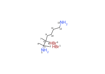 Br.Br.CC(C)(N)C(C)(C)CCCCN